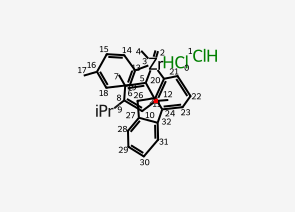 Cl.Cl.[CH2]=[Zr]([CH3])([C]1=C(C)C(C(C)C)=CC1C)([c]1ccc(C)cc1)[c]1cccc2c1Cc1ccccc1-2